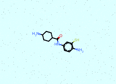 Nc1ccc(NC(=O)C2CCC(N)CC2)cc1S